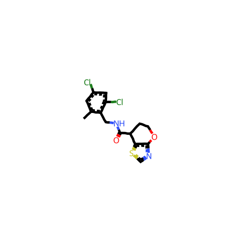 Cc1cc(Cl)cc(Cl)c1CNC(=O)C1CCOc2ncsc21